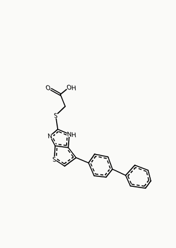 O=C(O)CSc1nc2scc(-c3ccc(-c4ccccc4)cc3)c2[nH]1